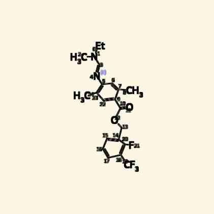 CCN(C)/C=N/c1cc(C)c(C(=O)OCc2cccc(C(F)(F)F)c2F)cc1C